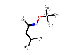 CCCC(C#N)CC(CC)=NO[Si](C)(C)C